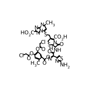 Cc1cc(SCC2=C(C(=O)O)N3C(=O)[C@@H](NC(=O)/C(=N\OC(=O)c4cc(OC(=O)CCl)c(OC(=O)CCl)cc4C)c4csc(N)n4)[C@H]3SC2)n2nc(C(=O)O)nc2n1